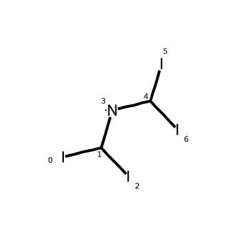 IC(I)[N]C(I)I